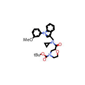 COc1cccc(-n2cc(CN(C(=O)C3CN(C(=O)OC(C)(C)C)CCO3)C3CC3)c3ccccc32)c1